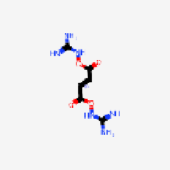 N=C(N)NOC(=O)/C=C/C(=O)ONC(=N)N